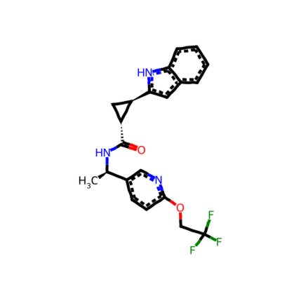 C[C@@H](NC(=O)[C@@H]1C[C@H]1c1cc2ccccc2[nH]1)c1ccc(OCC(F)(F)F)nc1